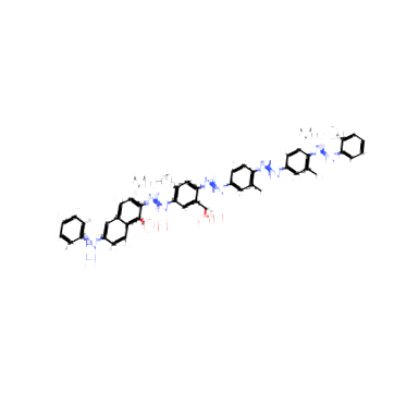 COc1ccccc1N=Nc1ccc(N=Nc2ccc(N=Nc3cc(OC)c(N=Nc4ccc5cc(Nc6ccccc6)ccc5c4O)cc3CO)cc2C)cc1C